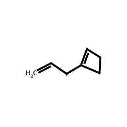 C=C[CH]C1=CCC1